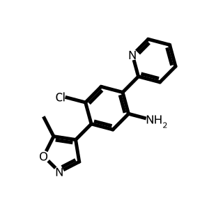 Cc1oncc1-c1cc(N)c(-c2ccccn2)cc1Cl